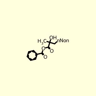 CCCCCCCCCCC(C)(O)C(=O)OC(=O)c1ccccc1